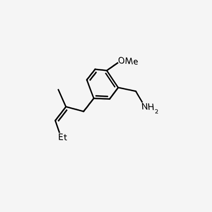 CC/C=C(/C)Cc1ccc(OC)c(CN)c1